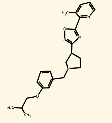 Cc1cccnc1-c1nc(C2CCN(Cc3cccc(OCC(C)C)c3)C2)no1